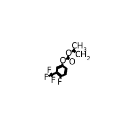 C=C(C)OC(=O)Oc1ccc(F)c(C(F)(F)F)c1